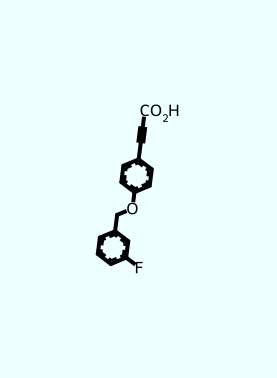 O=C(O)C#Cc1ccc(OCc2cccc(F)c2)cc1